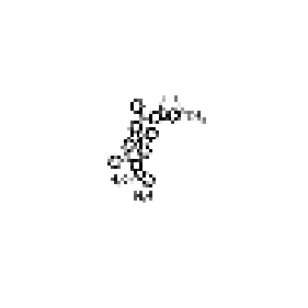 CCn1c2cc(SC)ccc2c2ccc(N(c3ccccc3)c3ccc4c(c3)C3(c5ccccc5-c5ccccc53)c3cc(N(c5ccccc5)c5ccc6c7ccc(SC)cc7n(CC)c6c5)ccc3-4)cc21